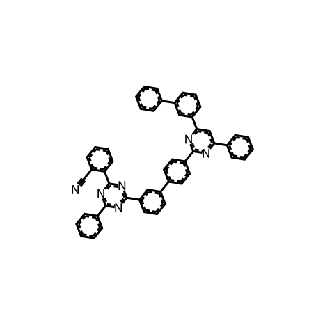 N#Cc1ccccc1-c1nc(-c2ccccc2)nc(-c2cccc(-c3ccc(-c4nc(-c5ccccc5)cc(-c5cccc(-c6ccccc6)c5)n4)cc3)c2)n1